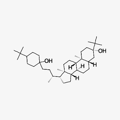 C[C@H](CCC1(O)CCC(C(C)(C)C)CC1)[C@H]1CC[C@H]2[C@@H]3CC[C@H]4C[C@](O)(C(C)(C)C)CC[C@]4(C)[C@H]3CC[C@]12C